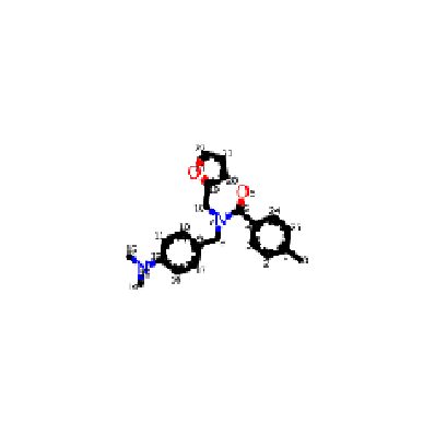 Cc1ccc(C(=O)N(Cc2ccc(N(C)C)cc2)Cc2ccco2)cc1